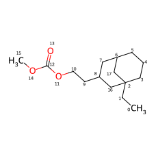 CCC12CCCC(CC(CCOC(=O)OC)C1)C2